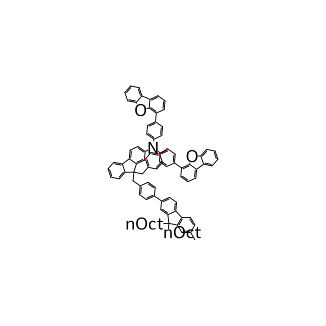 CCCCCCCCC1(CCCCCCCC)c2cc(C)ccc2-c2ccc(-c3ccc(CC4(Cc5ccc(C)cc5)c5ccccc5-c5ccc(N(c6ccc(-c7cccc8c7oc7ccccc78)cc6)c6ccc(-c7cccc8c7oc7ccccc78)cc6)cc54)cc3)cc21